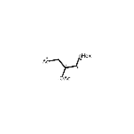 CCCCCCCC(CC(C)=O)OC(C)=O